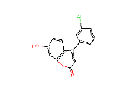 O=c1cc(-c2cccc(Cl)c2)c2ccc(O)cc2o1